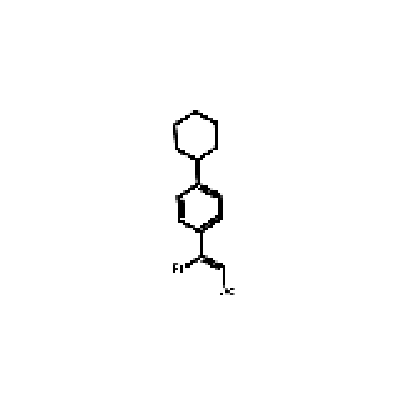 CCC(=CC(C)=O)c1ccc(C2CCCCC2)cc1